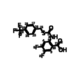 O=C(Nc1cc(F)c(F)cc1C(=O)O)SCc1ccc(C(F)(F)F)cc1